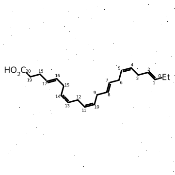 CC/C=C/C/C=C\C/C=C/C/C=C\C/C=C\C/C=C/CCC(=O)O